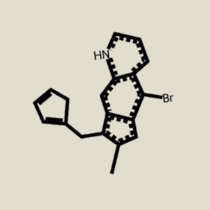 Cc1cc2c(Br)c3ccc[nH]c3cc2c1CC1=CC=CC1